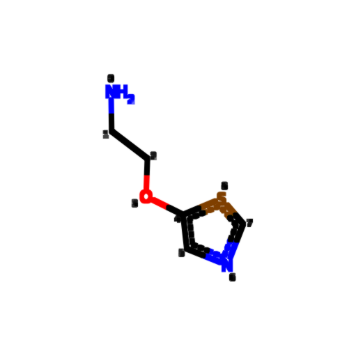 NCCOc1cncs1